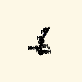 COc1nc2cccc(CO)c2cc1C[C@@H](N)[C@@H]1CC[C@@H](NC/C=C/c2cc(F)ccc2F)CO1